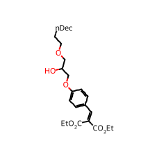 CCCCCCCCCCCCOCC(O)COc1ccc(C=C(C(=O)OCC)C(=O)OCC)cc1